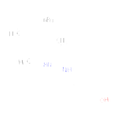 CCCCC(C)C(C)(C)NNCCO